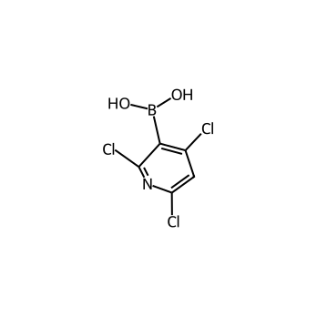 OB(O)c1c(Cl)cc(Cl)nc1Cl